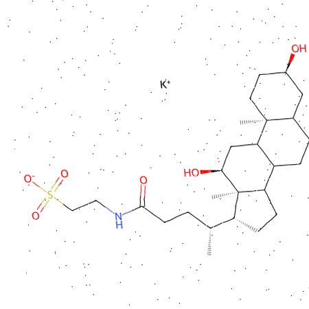 C[C@H](CCC(=O)NCCS(=O)(=O)[O-])[C@H]1CCC2C3CCC4C[C@H](O)CC[C@]4(C)C3C[C@H](O)[C@@]21C.[K+]